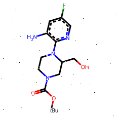 CC(C)(C)OC(=O)N1CCN(c2ncc(F)cc2N)C(CO)C1